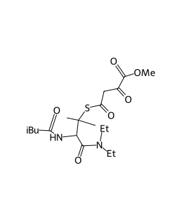 CCC(C)C(=O)NC(C(=O)N(CC)CC)C(C)(C)SC(=O)CC(=O)C(=O)OC